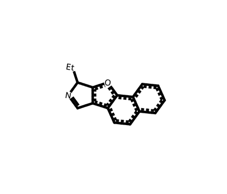 CCC1N=Cc2c1oc1c2ccc2ccccc21